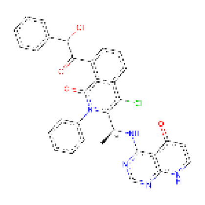 C[C@H](Nc1ncnc2[nH]ccc(=O)c12)c1c(Cl)c2cccc(C(=O)C(O)c3ccccc3)c2c(=O)n1-c1ccccc1